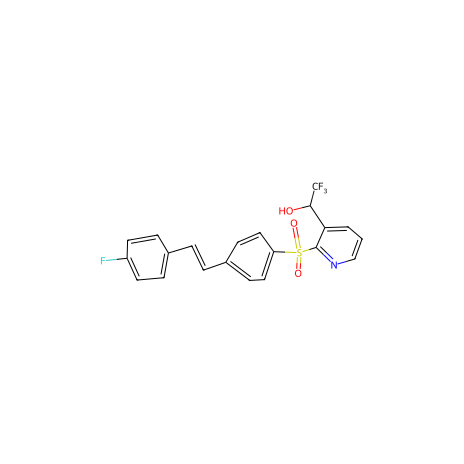 O=S(=O)(c1ccc(C=Cc2ccc(F)cc2)cc1)c1ncccc1C(O)C(F)(F)F